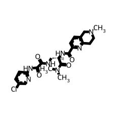 CN1CCc2nc(C(=O)N[C@@H](CNC(=O)C(=O)Nc3ccc(Cl)cn3)C(=O)N(C)C)ccc2C1